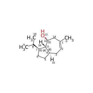 CC1=CC[C@H]2CC[C@@H](C(C)C)[C@@H]2[C@@H](O)C1